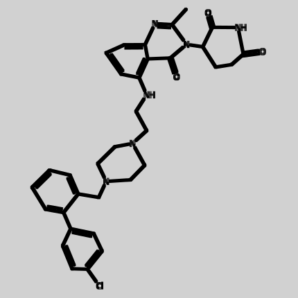 Cc1nc2cccc(NCCN3CCN(Cc4ccccc4-c4ccc(Cl)cc4)CC3)c2c(=O)n1C1CCC(=O)NC1=O